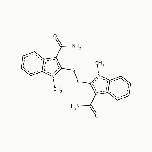 Cn1c(SSc2c(C(N)=O)c3ccccc3n2C)c(C(N)=O)c2ccccc21